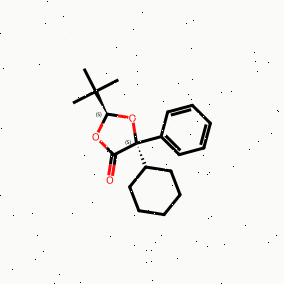 CC(C)(C)[C@@H]1OC(=O)[C@@](c2ccccc2)(C2CCCCC2)O1